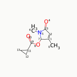 CC1=CC(=O)N(C)C1OC(=O)C1CC1